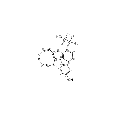 O=S(=O)(O)C(F)(F)F.Oc1ccc(Cc2sccccccc2Cc2ccccc2)cc1